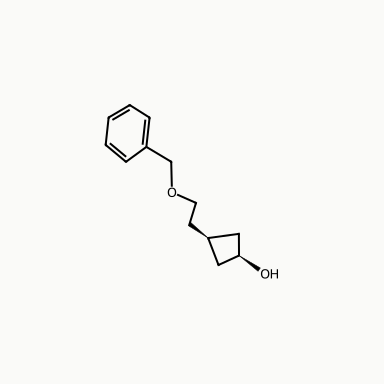 O[C@H]1C[C@@H](CCOCc2ccccc2)C1